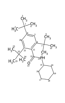 CC(C)(C)c1cc(C(C)(C)C)c(C(=O)PC2CCCCC2)c(C(C)(C)C)c1